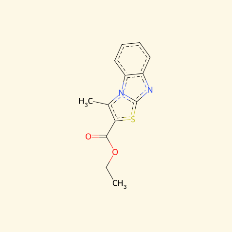 CCOC(=O)c1sc2nc3ccccc3n2c1C